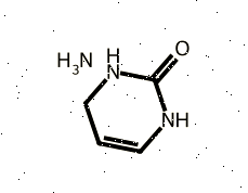 N.O=C1NC=CCN1